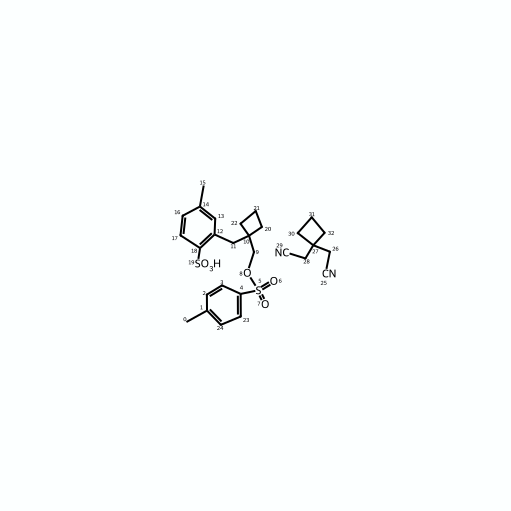 Cc1ccc(S(=O)(=O)OCC2(Cc3cc(C)ccc3S(=O)(=O)O)CCC2)cc1.N#CCC1(CC#N)CCC1